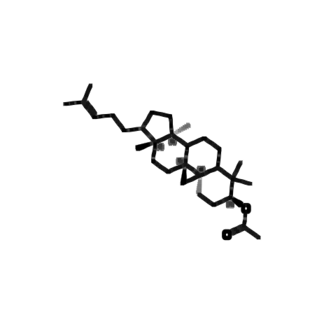 CC(=O)O[C@H]1CC[C@]23C[C@]24CC[C@]2(C)C(CCC=C(C)C)CC[C@@]2(C)C4CCC3C1(C)C